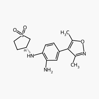 Cc1noc(C)c1-c1ccc(N[C@@H]2CCS(=O)(=O)C2)c(N)c1